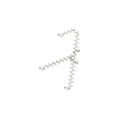 CCCCC/C=C\C/C=C\CCCCCCCC(=O)OC[C@@H](COC(=O)CCCCCCCCCCCCC)OC(=O)CCCCCCCCCCCCCC